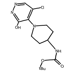 CC(C)(C)OC(=O)NC1CCN(c2c(Cl)cnnc2O)CC1